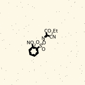 CCOC(=O)/C(C#N)=N/OS(=O)(=O)c1ccccc1[N+](=O)[O-]